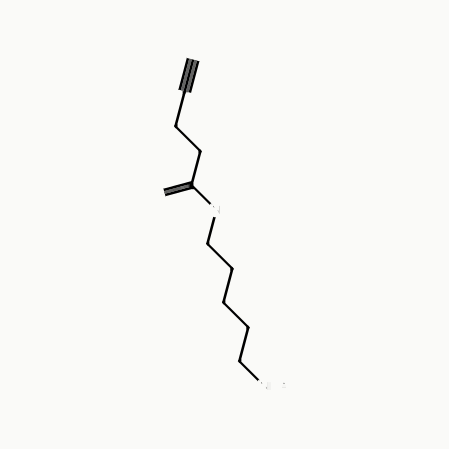 C#CCCC(=O)NCCCCCNC(C)=O